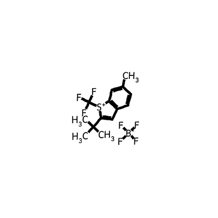 Cc1ccc2cc(C(C)(C)C)[s+](C(F)(F)F)c2c1.F[B-](F)(F)F